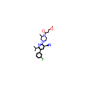 COCCC(=O)N1CCN(c2nc(C(C)C)c(-c3cccc(F)c3)cc2C#N)CC1C